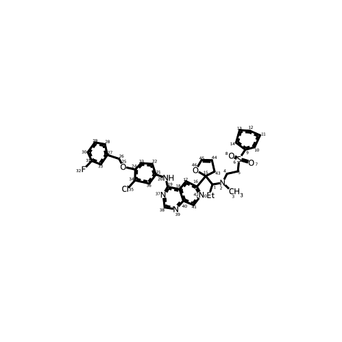 CCC(N(C)CCS(=O)(=O)c1ccccc1)C1(c2cc3c(Nc4ccc(OCc5cccc(F)c5)c(Cl)c4)ncnc3cn2)CC=CO1